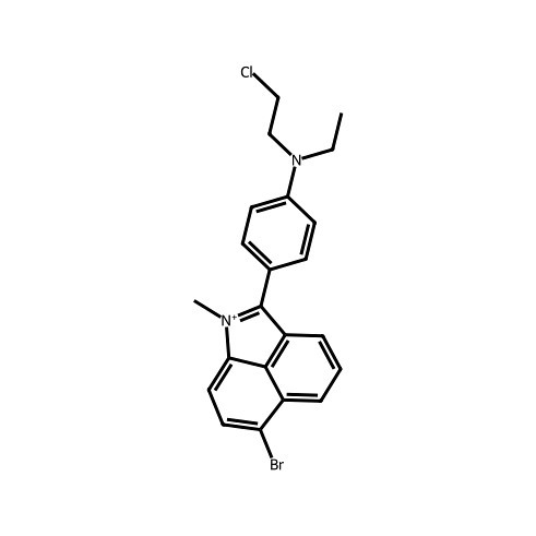 CCN(CCCl)c1ccc(C2=[N+](C)c3ccc(Br)c4cccc2c34)cc1